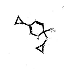 O=[N+]([O-])C1(OC2CC2)C=CC(C2CC2)=CN1